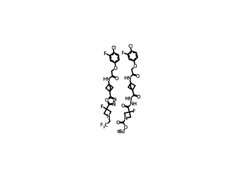 CC(C)(C)OC(=O)N1CC(F)(C(=O)NNC(=O)C23CC(NC(=O)COc4ccc(Cl)c(F)c4)(C2)C3)C1.O=C(COc1ccc(Cl)c(F)c1)NC12CC(c3nnc(C4(F)CN(CC(F)(F)F)C4)o3)(C1)C2